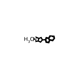 CN1CC2CC(c3ccc4ccccc4c3)CC2C1